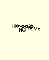 COC(=O)C1(COc2ccc(N3CCN(CCC4CCNCC4)CC3)cc2)C=CC=CC1.Cl.Cl